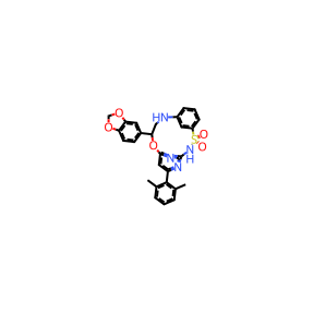 Cc1cccc(C)c1-c1cc2nc(n1)NS(=O)(=O)c1cccc(c1)NCC(c1ccc3c(c1)OCO3)O2